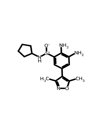 Cc1noc(C)c1-c1cc(N)c(N)c([S+]([O-])NC2CCCC2)c1